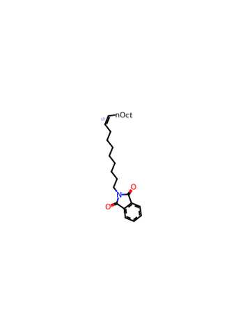 CCCCCCCC/C=C\CCCCCCCCN1C(=O)c2ccccc2C1=O